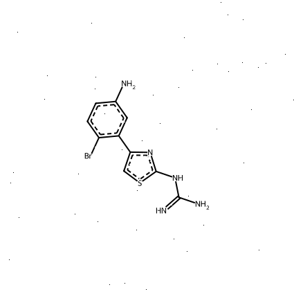 N=C(N)Nc1nc(-c2cc(N)ccc2Br)cs1